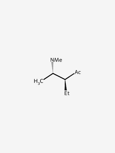 CC[C@H](C(C)=O)[C@H](C)NC